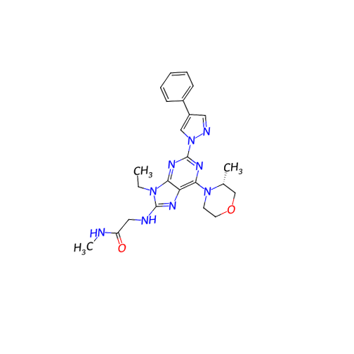 CCn1c(NCC(=O)NC)nc2c(N3CCOC[C@H]3C)nc(-n3cc(-c4ccccc4)cn3)nc21